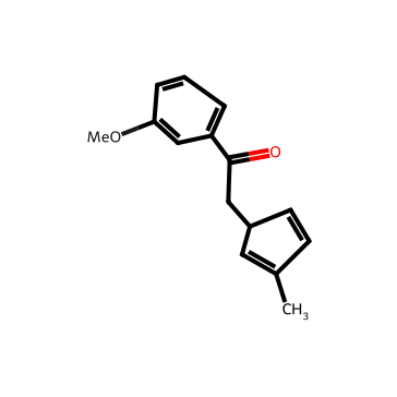 COc1cccc(C(=O)CC2C=CC(C)=C2)c1